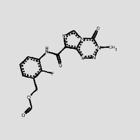 Cn1nnc2c(C(=O)Nc3cccc(COC=O)c3F)ncn2c1=O